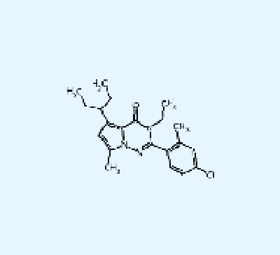 CCC(CC)c1cc(C)n2nc(-c3ccc(Cl)cc3C)n(CC)c(=O)c12